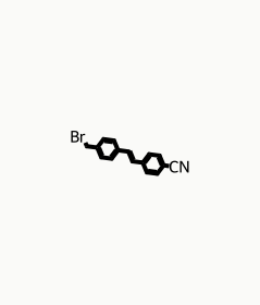 N#Cc1ccc(C=Cc2ccc(CBr)cc2)cc1